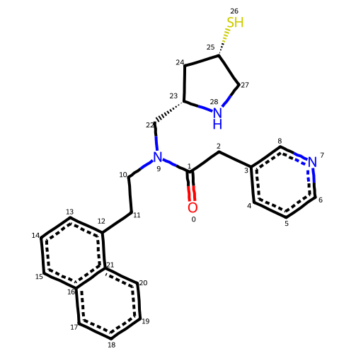 O=C(Cc1cccnc1)N(CCc1cccc2ccccc12)C[C@@H]1C[C@H](S)CN1